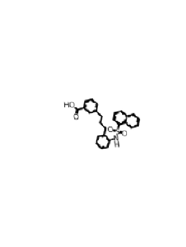 O=C(O)c1cccc(CCCc2ccccc2NS(=O)(=O)c2cccc3ccccc23)c1